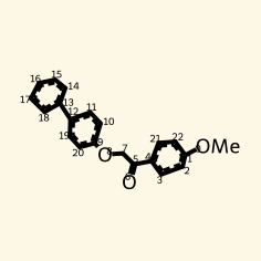 COc1ccc(C(=O)COc2ccc(-c3ccccc3)cc2)cc1